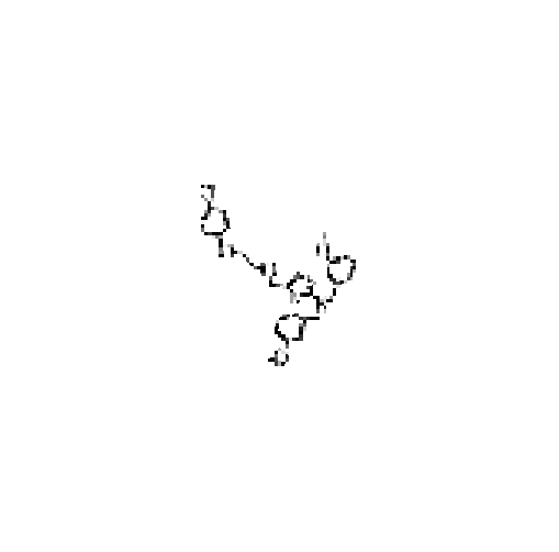 COc1cccc(CN(Cc2cccc(OC)c2)c2nc(COCCOc3ccc(Cl)cc3)cs2)c1